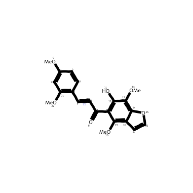 COc1ccc(/C=C/C(=O)c2c(O)c(OC)c3occc3c2OC)c(OC)c1